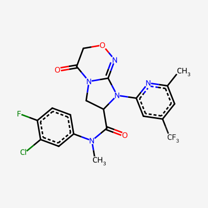 Cc1cc(C(F)(F)F)cc(N2C3=NOCC(=O)N3CC2C(=O)N(C)c2ccc(F)c(Cl)c2)n1